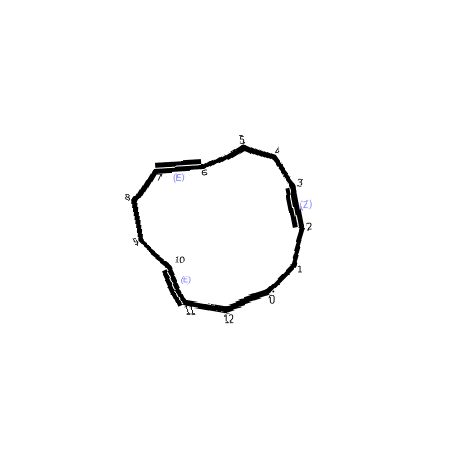 [CH]1C/C=C\CC/C=C/CC/C=C/C1